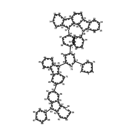 c1ccc(-c2cc(-c3ccc(-n4c5ccccc5c5ccc6c7ccccc7n(-c7ccccc7)c6c54)cc3)nc(-n3c4ccccc4c4cc(-c5ccc6c(c5)c5ccccc5n6-c5ccccc5)ccc43)n2)cc1